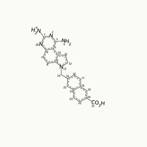 Nc1nc(N)c2c(ccc3c2ccn3Cc2ccc3cc(C(=O)O)ccc3c2)n1